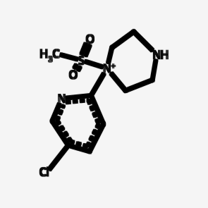 CS(=O)(=O)[N+]1(c2ccc(Cl)cn2)CCNCC1